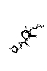 O=C(O)CON1C(=O)N2C[C@H]1CC[C@H]2C(=O)NO[C@@H]1CCNC1